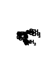 CC(C)OC(=O)N1CC[C@H](n2nc(COc3ccccc3CC(=O)O)c3cc(-c4ccc5ccnc(N)c5c4)ccc32)C1